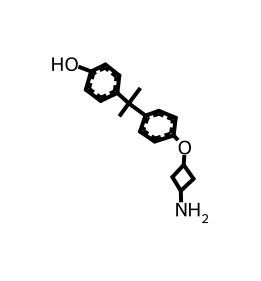 CC(C)(c1ccc(O)cc1)c1ccc(OC2CC(N)C2)cc1